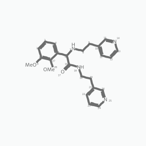 COc1cccc(C(NCCc2cccnc2)C(=O)NCCc2cccnc2)c1OC